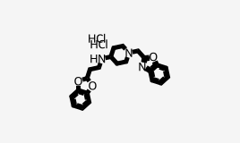 Cl.Cl.c1ccc2c(c1)OC(CCNC1CCN(Cc3nc4ccccc4o3)CC1)O2